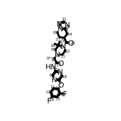 C[C@@H](C(=O)Nc1cnc(Oc2ccc(F)cc2F)cn1)N1CCN(C(=O)C2CCn3ncnc3C2)C(C)(C)C1